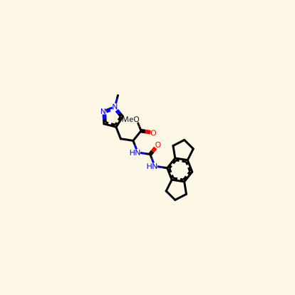 COC(=O)C(Cc1cnn(C)c1)NC(=O)Nc1c2c(cc3c1CCC3)CCC2